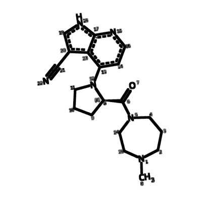 CN1CCCN(C(=O)[C@H]2CCCN2c2ccnc3[nH]cc(C#N)c23)CC1